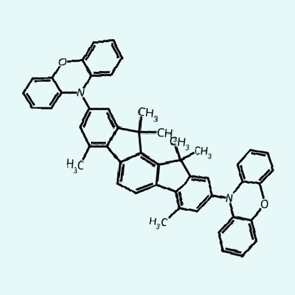 Cc1cc(N2c3ccccc3Oc3ccccc32)cc2c1-c1ccc3c(c1C2(C)C)C(C)(C)c1cc(N2c4ccccc4Oc4ccccc42)cc(C)c1-3